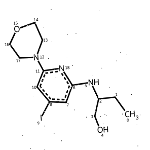 CCC(CO)Nc1cc(I)cc(N2CCOCC2)n1